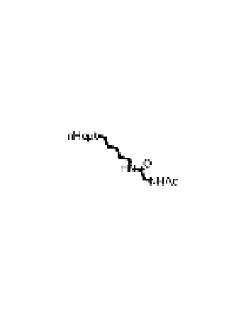 CCCCCCCCCCCCNC(=O)CNC(C)=O